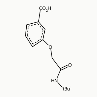 CC(C)(C)NC(=O)COc1cccc(C(=O)O)c1